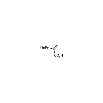 C=C(CCC)C(=O)O.[LiH]